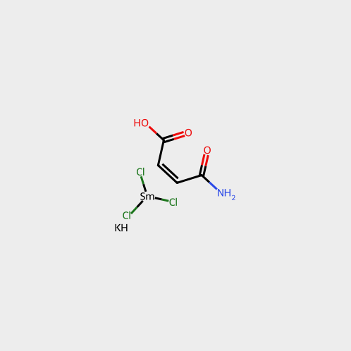 NC(=O)/C=C\C(=O)O.[Cl][Sm]([Cl])[Cl].[KH]